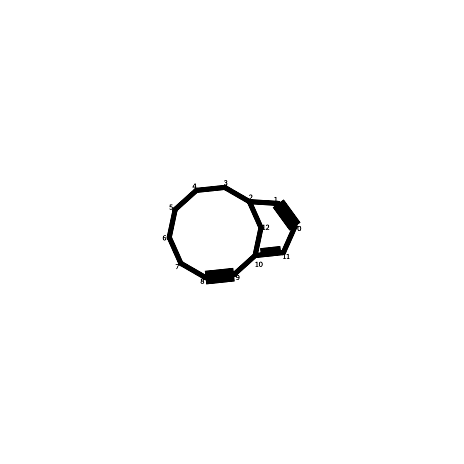 C1#CC2CCCCCC#CC(=C1)C2